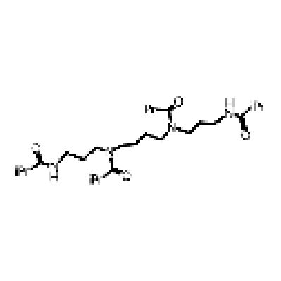 CC(C)C(=O)NCCCN(CCCCN(CCCNC(=O)C(C)C)C(=O)C(C)C)C(=O)C(C)C